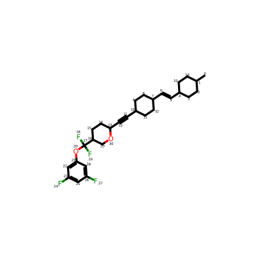 CC1CCC(/C=C/C2CCC(C#CC3CCC(C(F)(F)Oc4cc(F)cc(F)c4)CO3)CC2)CC1